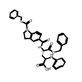 O=C(N[C@@H](CC(Nc1ccccc1)C(=O)O)C(=O)OCc1ccccc1)c1ccc2c(c1)CCN2C(=O)OCc1ccccc1